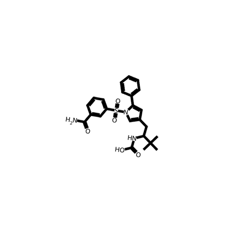 CC(C)(C)C(Cc1cc(-c2ccccc2)n(S(=O)(=O)c2cccc(C(N)=O)c2)c1)NC(=O)O